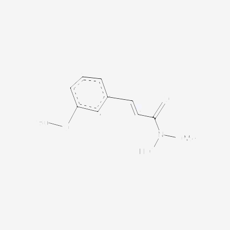 CCCCOc1cccc(/C=C/C(=O)N(C)OC)c1